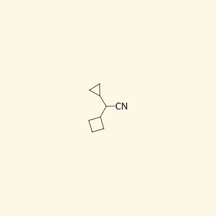 N#CC(C1CCC1)C1CC1